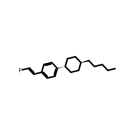 CCCCC[C@H]1CC[C@H](c2ccc(C=CF)cc2)CC1